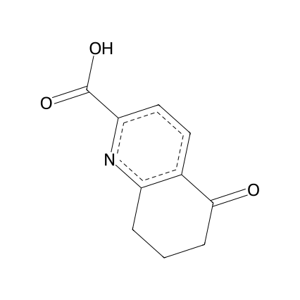 O=C(O)c1ccc2c(n1)CCCC2=O